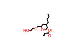 C=CC(=O)O.CCCCC(CC)CC(O)COCCO